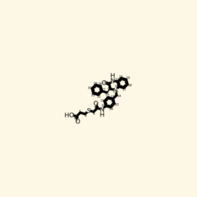 O=C(O)CCSCC(=O)Nc1ccc(CN2c3ccccc3NC(=O)[C@@H]2Cc2ccccc2)cc1